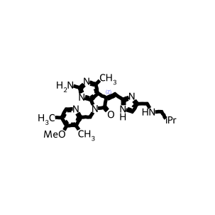 COc1c(C)cnc(CN2C(=O)/C(=C\c3nc(CNCC(C)C)c[nH]3)c3c(C)nc(N)nc32)c1C